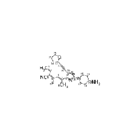 C=C/C(C#N)=C(F)\C=C(/C)c1nc(N2CCC(N)CC2)sc1C#CC1CCCO1